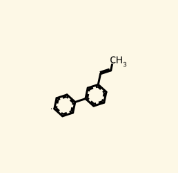 CC=Cc1cccc(-c2cc[c]cc2)c1